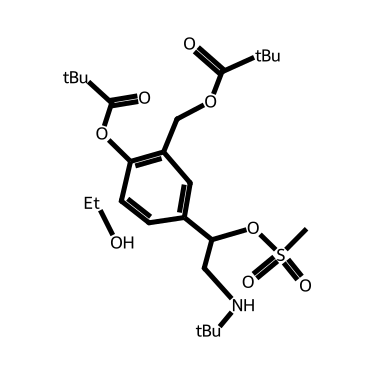 CC(C)(C)NCC(OS(C)(=O)=O)c1ccc(OC(=O)C(C)(C)C)c(COC(=O)C(C)(C)C)c1.CCO